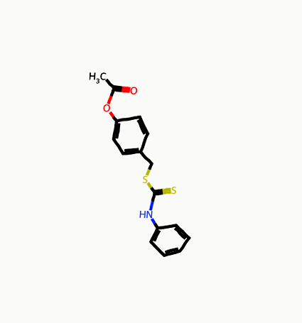 CC(=O)Oc1ccc(CSC(=S)Nc2ccccc2)cc1